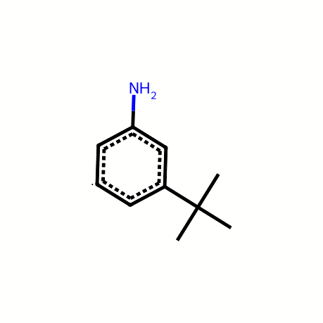 CC(C)(C)c1c[c]cc(N)c1